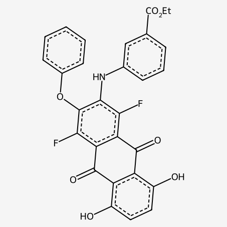 CCOC(=O)c1cccc(Nc2c(F)c3c(c(F)c2Oc2ccccc2)C(=O)c2c(O)ccc(O)c2C3=O)c1